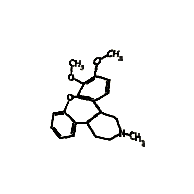 COc1ccc2c(c1OC)Oc1ccccc1C1CCN(C)CC21